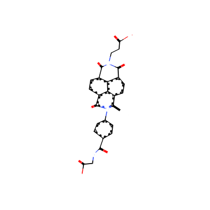 C=c1c2ccc3c4c(ccc(c(=O)n1-c1ccc(C(=O)NCC(=O)O)cc1)c42)C(=O)N(CCC(=O)O)C3=O